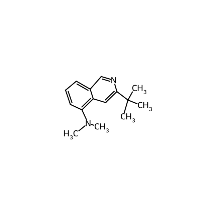 CN(C)c1cccc2cnc(C(C)(C)C)cc12